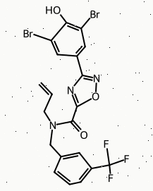 C=CCN(Cc1cccc(C(F)(F)F)c1)C(=O)c1nc(-c2cc(Br)c(O)c(Br)c2)no1